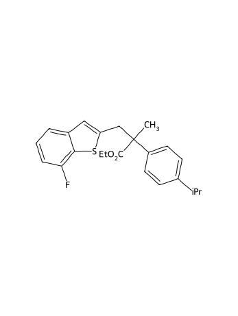 CCOC(=O)C(C)(Cc1cc2cccc(F)c2s1)c1ccc(C(C)C)cc1